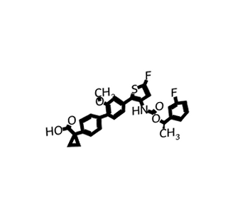 COc1cc(-c2sc(F)cc2NC(=O)O[C@H](C)c2cccc(F)c2)ccc1-c1ccc(C2(C(=O)O)CC2)cc1